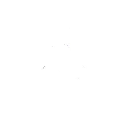 CC(C)NC(=O)N1CC[C@@H](C(=O)N[C@@H](C(=O)N2CC[C@H](c3ccc(Cl)cc3)C(C)(C)C2)C(C)C)C1